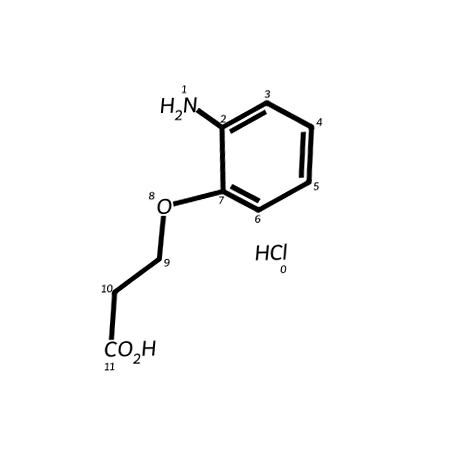 Cl.Nc1ccccc1OCCC(=O)O